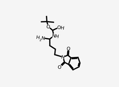 CC(C)(C)OC(O)NC(N)CCCN1C(=O)c2ccccc2C1=O